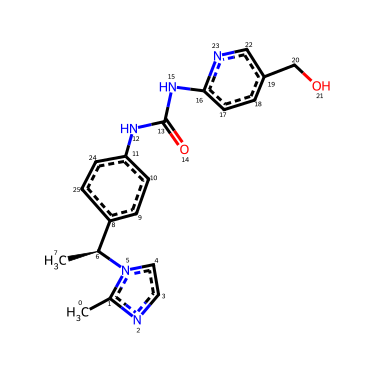 Cc1nccn1[C@@H](C)c1ccc(NC(=O)Nc2ccc(CO)cn2)cc1